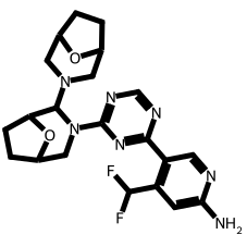 Nc1cc(C(F)F)c(-c2ncnc(N3CC4CCC(O4)C3N3CC4CCC(C3)O4)n2)cn1